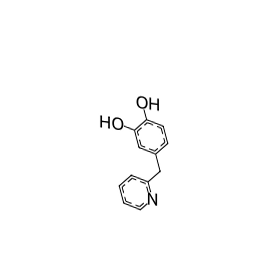 Oc1ccc(Cc2ccccn2)cc1O